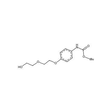 CC(C)(C)OC(=O)Nc1ccc(OCCOCCO)cc1